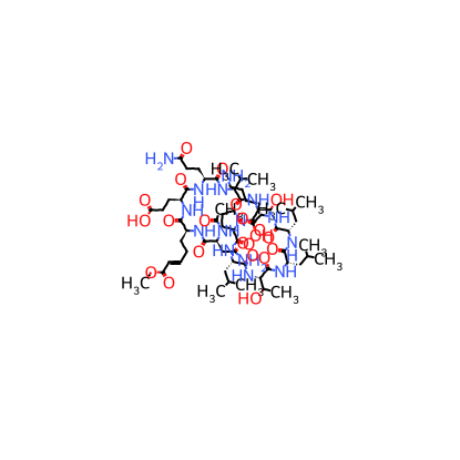 COC(=O)/C=C/CC[C@H](NC(=O)[C@H](CC(N)=O)NC(C)=O)C(=O)N[C@@H](CCC(=O)O)C(=O)N[C@@H](CCC(N)=O)C(=O)N[C@H](C(=O)N[C@@H](CO)C(=O)N1CCCC1C(=O)N[C@@H](CC(C)C)C(=O)N[C@H](C(=O)N[C@@H](CC(C)C)C(=O)N[C@@H](CC(C)C)C(=O)N[C@@H](CCCCN)C(=O)O)C(C)O)C(C)C